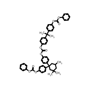 CC1CC(C)(C)CC(c2ccc(OC(=O)Oc3ccccc3)cc2)(c2ccc(OC(=O)Oc3ccc(C(C)(C)c4ccc(OC(=O)Oc5ccccc5)cc4)cc3)cc2)C1